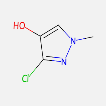 Cn1cc(O)c(Cl)n1